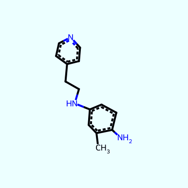 Cc1cc(NCCc2ccncc2)ccc1N